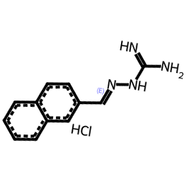 Cl.N=C(N)N/N=C/c1ccc2ccccc2c1